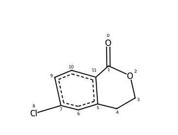 O=C1OCCc2cc(Cl)ccc21